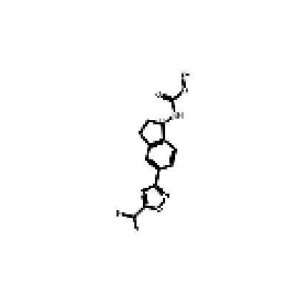 CC(C)OC(=O)N[C@@H]1CCc2cc(-c3noc(C(F)F)n3)ccc21